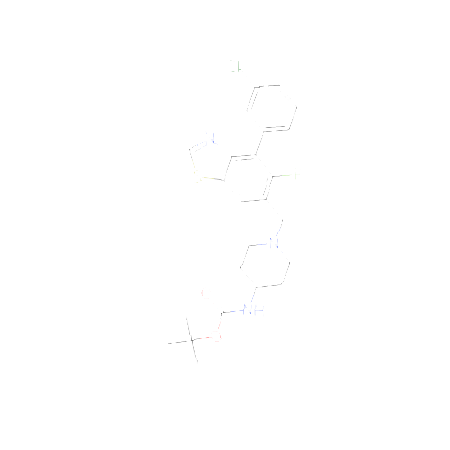 CC(C)(C)OC(=O)NC1CCN(Cc2cc3scnc3c(-c3cccc(Cl)c3)c2F)CC1